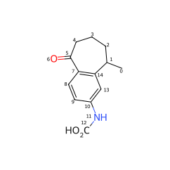 CC1CCCC(=O)c2ccc(NC(=O)O)cc21